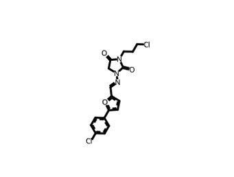 O=C1CN(N=Cc2ccc(-c3ccc(Cl)cc3)o2)C(=O)N1CCCCl